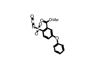 COC(=O)c1cc(Oc2ccccc2)ccc1S(=O)(=O)N=C=O